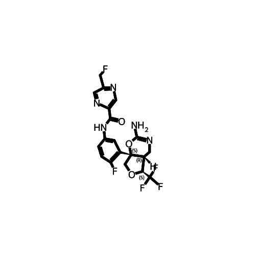 NC1=NC[C@@H]2[C@@H](C(F)(F)F)OC[C@]2(c2cc(NC(=O)c3cnc(CF)cn3)ccc2F)O1